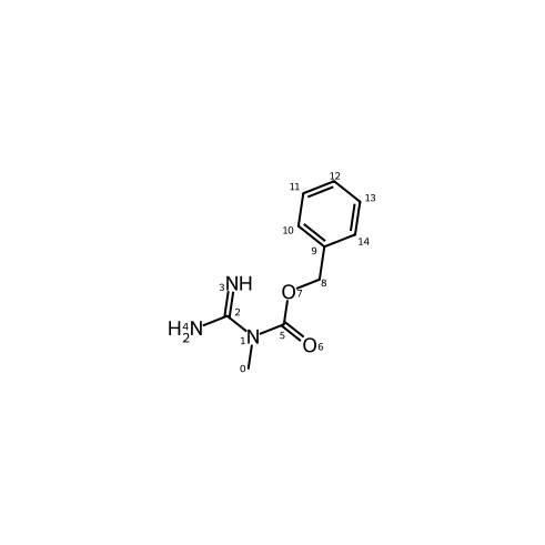 CN(C(=N)N)C(=O)OCc1ccccc1